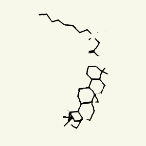 CCCCCCCC[N+](C)(C)CC(=O)O[C@H]1CC[C@@]2(C)C(CC[C@@]34C[C@]35CC[C@]36CCC(C)(C)[C@H](OC3)C6C5CCC24)C1(C)C